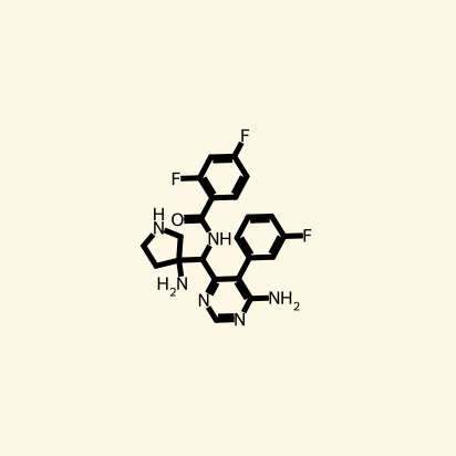 Nc1ncnc(C(NC(=O)c2ccc(F)cc2F)C2(N)CCNC2)c1-c1cccc(F)c1